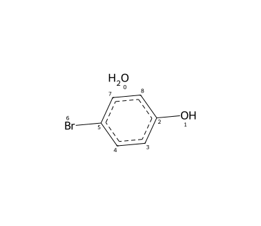 O.Oc1ccc(Br)cc1